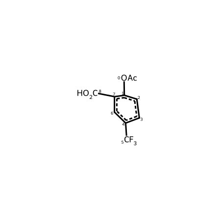 CC(=O)Oc1ccc(C(F)(F)F)cc1C(=O)O